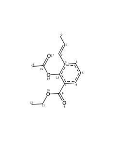 CC=Cc1cccc(C(=O)OCC)c1OC(C)=O